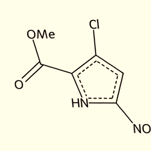 COC(=O)c1[nH]c([N+](=O)[O-])cc1Cl